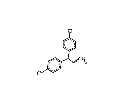 C=CC(c1ccc(Cl)cc1)c1ccc(Cl)cc1